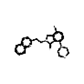 O=C1c2c(N3CCOCC3)ccc(F)c2CN1CCc1ccc2ccccc2n1